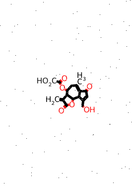 C=C1C(=O)OC2C3C(CO)=CC(=O)C3=C(C)CC(OC(=O)C(=O)O)C12